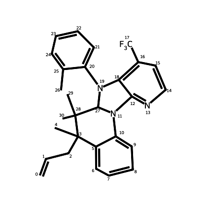 C=CCC1(C)c2ccccc2N2c3nccc(C(F)(F)F)c3N(c3ccccc3C)C2C1(C)C